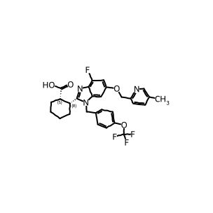 Cc1ccc(COc2cc(F)c3nc([C@@H]4CCCC[C@@H]4C(=O)O)n(Cc4ccc(OC(F)(F)F)cc4)c3c2)nc1